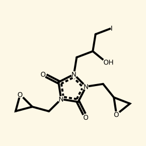 O=c1n(CC2CO2)c(=O)n(CC2CO2)n1CC(O)CI